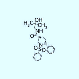 CC(C)(O)CNC(=O)[C@@H]1CC[C@H](c2ccccc2)N(S(=O)(=O)c2ccccc2)C1